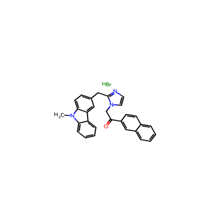 Br.Cn1c2ccccc2c2cc(Cc3nccn3CC(=O)c3ccc4ccccc4c3)ccc21